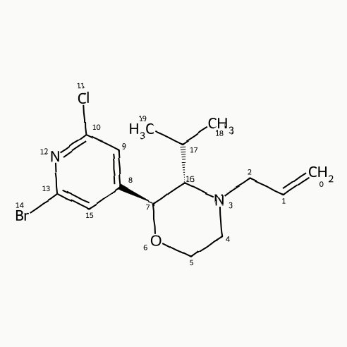 C=CCN1CCO[C@@H](c2cc(Cl)nc(Br)c2)[C@@H]1C(C)C